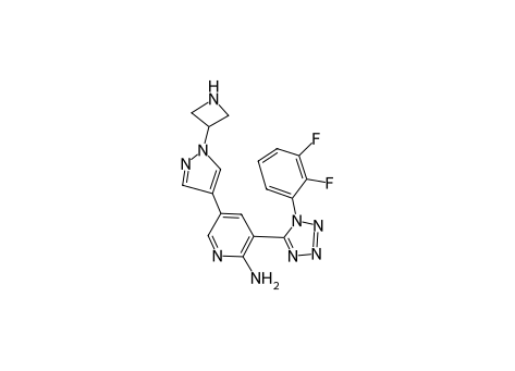 Nc1ncc(-c2cnn(C3CNC3)c2)cc1-c1nnnn1-c1cccc(F)c1F